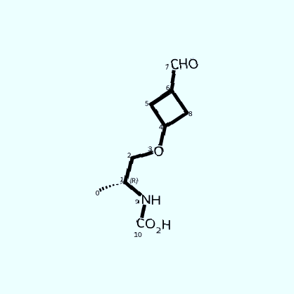 C[C@H](COC1CC(C=O)C1)NC(=O)O